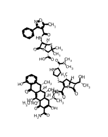 C[C@@H](O)[C@H]1C(=O)N2C(C(=O)O)=C(S[C@@H]3CN[C@H](C(=O)N(C)C)C3)[C@H](C)[C@H]12.C[C@H]1c2cccc(O)c2C(=O)C2=C(O)[C@]3(O)C(=O)C(C(N)=O)=C(O)[C@@H](N(C)C)[C@@H]3[C@@H](O)[C@@H]21.Cc1onc(-c2ccccc2)c1C(=O)N[C@@H]1C(=O)N2[C@@H]1SC(C)(C)[C@@H]2C(=O)O.O